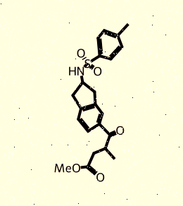 COC(=O)CC(C)C(=O)c1ccc2c(c1)CC(NS(=O)(=O)c1ccc(C)cc1)C2